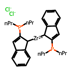 CCCP(CCC)C1=Cc2ccccc2[CH]1[Zr+2][CH]1C(P(CCC)CCC)=Cc2ccccc21.[Cl-].[Cl-]